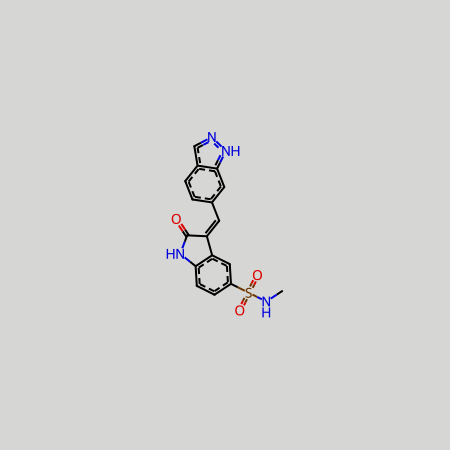 CNS(=O)(=O)c1ccc2c(c1)C(=Cc1ccc3cn[nH]c3c1)C(=O)N2